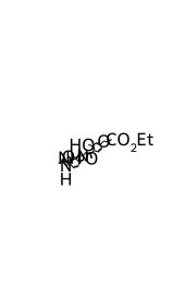 CCOC(=O)COc1ccc(C(=O)CN2C=C3C=CC(NC(C)=N)C(=O)C3C2)c(O)c1